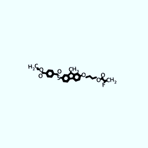 C=COC(=O)c1ccc(C(=O)Sc2ccc3c(c2)C(C)c2cc(OCCCCOC(=O)C(=C)F)ccc2-3)cc1